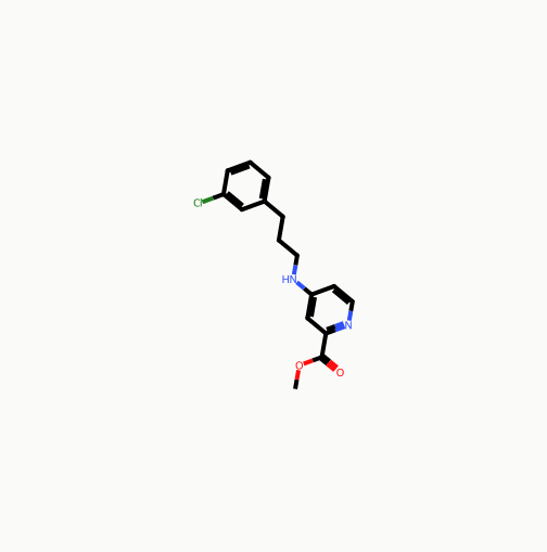 COC(=O)c1cc(NCCCc2cccc(Cl)c2)ccn1